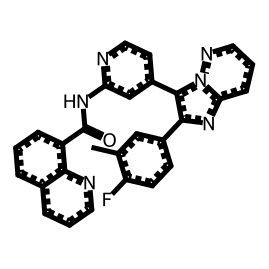 Cc1cc(-c2nc3cccnn3c2-c2ccnc(NC(=O)c3cccc4cccnc34)c2)ccc1F